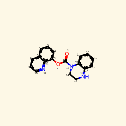 O=C(Oc1cccc2cccnc12)N1CCNc2ccccc21